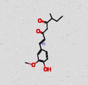 CCC(C)C(=O)CC(=O)/C=C/c1ccc(O)c(OC)c1